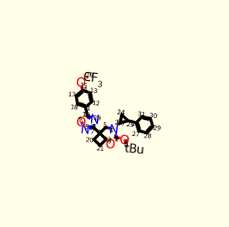 CC(C)(C)OC(=O)N(CC1(c2noc(-c3ccc(OC(F)(F)F)cc3)n2)CCC1)[C@H]1CC1c1ccccc1